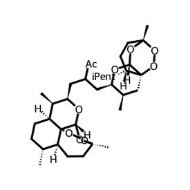 CCC[C@@H](C)[C@@H]1CC[C@]2(C)OO[C@@]13C[C@@H](C)[C@@H](CC(C[C@H]1O[C@@H]4O[C@]5(C)CC[C@H]6[C@H](C)CC[C@@H]([C@H]1C)[C@@]46OO5)C(C)=O)O[C@@H]3O2